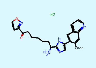 COc1cc2ncccc2cc1-c1cnc(C(N)CCCCCC(=O)c2ccon2)[nH]1.Cl